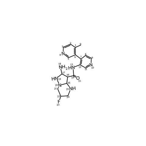 Cc1ccncc1-c1ccncc1NC(=O)C1C(N)NN2CC(F)CNC12